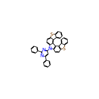 c1ccc(-c2cc(-n3c4ccc5sc6ccccc6c5c4c4c5c(ccc43)sc3ccccc35)nc(-c3ccccc3)n2)cc1